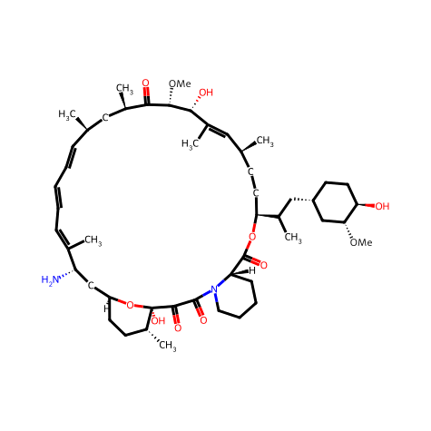 CO[C@@H]1C[C@H](CC(C)[C@@H]2CC[C@H](C)/C=C(\C)[C@@H](O)[C@@H](OC)C(=O)[C@H](C)C[C@H](C)/C=C/C=C/C=C(\C)[C@@H](N)C[C@@H]3CC[C@@H](C)[C@@](O)(O3)C(=O)C(=O)N3CCCC[C@H]3C(=O)O2)CC[C@H]1O